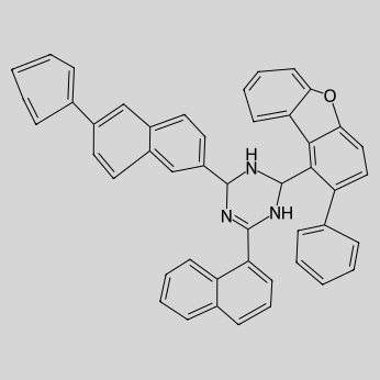 c1ccc(-c2ccc3cc(C4N=C(c5cccc6ccccc56)NC(c5c(-c6ccccc6)ccc6oc7ccccc7c56)N4)ccc3c2)cc1